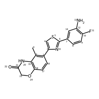 Cc1c(-c2csc(-c3ccc(F)c(N)c3)n2)ccc2c1NC(=O)CO2